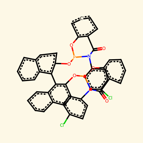 O=C1c2ccccc2OP(Oc2ccc3ccccc3c2-c2c(OP3Oc4ccccc4C(=O)N3c3ccc(Cl)cc3)ccc3ccccc23)N1c1ccc(Cl)cc1